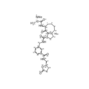 CN[C@@H](C)C(=O)N[C@H]1CCCC[C@H]2CC[C@@H](C(=O)NCc3cccc(C(=O)NC[C@H]4CCC(=O)O4)c3)N2C1=O